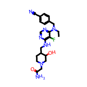 CCN(Cc1ccc(C#N)cc1)c1ncnc(NCC2CCN(CC(N)=O)CC2O)c1F